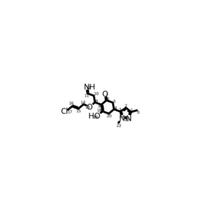 Cc1cc(C2CC(=O)C(C(CC=N)OCC=CCl)=C(O)C2)n(C)n1